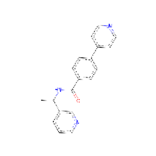 CC(NC(=O)c1ccc(-c2ccncc2)cc1)c1cccnc1